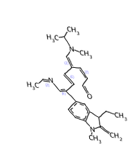 C=C1C(CC)c2cc(C(/C=C/C(/C=C\C=O)=C/N(C)C(C)C)=C/N=C\C)ccc2N1C